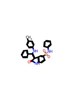 Cc1ccc(NC(=C2C(=O)Nc3ccc(S(=O)(=O)Nc4ccccc4)cc32)c2ccccc2)cc1